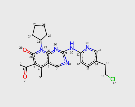 CC(=O)c1c(C)c2cnc(Nc3ccc(CCCl)cn3)nc2n(C2CCCC2)c1=O